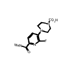 CNC(=O)c1ccc(N2CCN(C(=O)O)CC2)c(F)n1